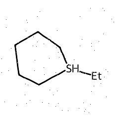 [CH2]C[SH]1CCCCC1